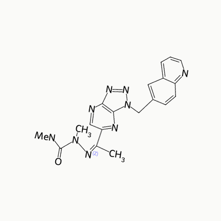 CNC(=O)N(C)/N=C(/C)c1cnc2nnn(Cc3ccc4ncccc4c3)c2n1